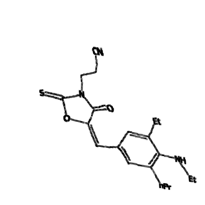 CCCc1cc(/C=C2/OC(=S)N(CCC#N)C2=O)cc(CC)c1NCC